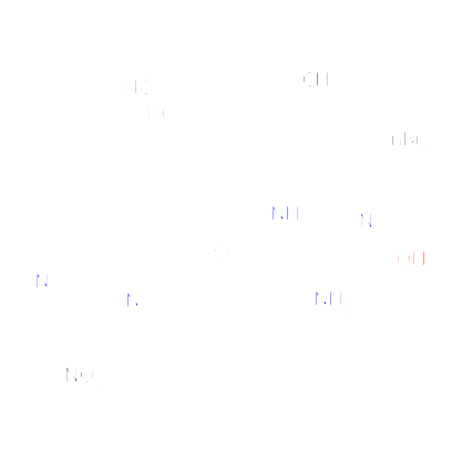 CCCCC(=NO)C(C)CNOC(CN)Cn1ccnc1[N+](=O)[O-].Cl.Cl